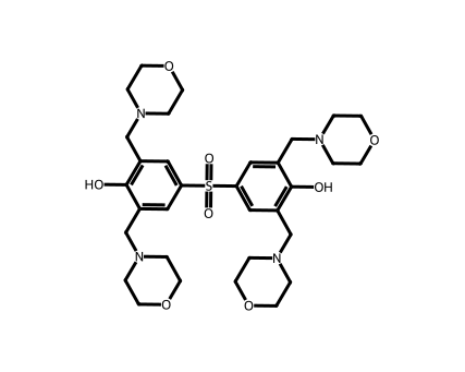 O=S(=O)(c1cc(CN2CCOCC2)c(O)c(CN2CCOCC2)c1)c1cc(CN2CCOCC2)c(O)c(CN2CCOCC2)c1